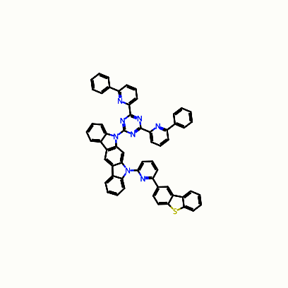 c1ccc(-c2cccc(-c3nc(-c4cccc(-c5ccccc5)n4)nc(-n4c5ccccc5c5cc6c7ccccc7n(-c7cccc(-c8ccc9sc%10ccccc%10c9c8)n7)c6cc54)n3)n2)cc1